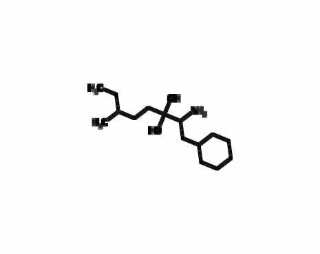 CCC(C)CCC(O)(O)C(N)CC1CCCCC1